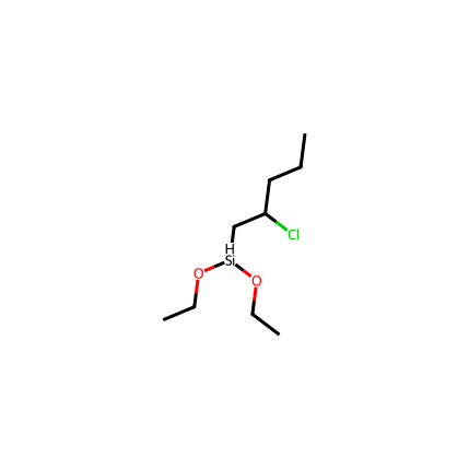 CCCC(Cl)C[SiH](OCC)OCC